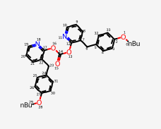 CCCCOc1ccc(Cc2cccnc2OC(=O)Oc2ncccc2Cc2ccc(OCCCC)cc2)cc1